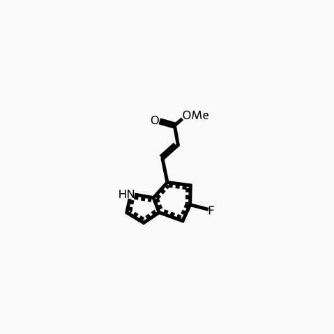 COC(=O)C=Cc1cc(F)cc2cc[nH]c12